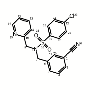 N#Cc1cccc(CN(Cc2ccccn2)S(=O)(=O)c2ccc(Cl)cc2)c1